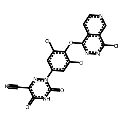 N#Cc1nn(-c2cc(Cl)c(Oc3nnc(Cl)c4cnccc34)c(Cl)c2)c(=O)[nH]c1=O